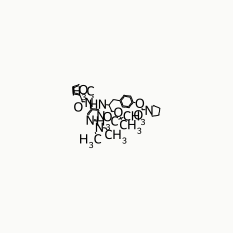 CCN(CC)c1ncc(N(CC)C(=O)c2ccco2)c(NC(Cc2ccc(OC(=O)N3CCCC3)cc2)C(=O)OC(C)(C)C)n1